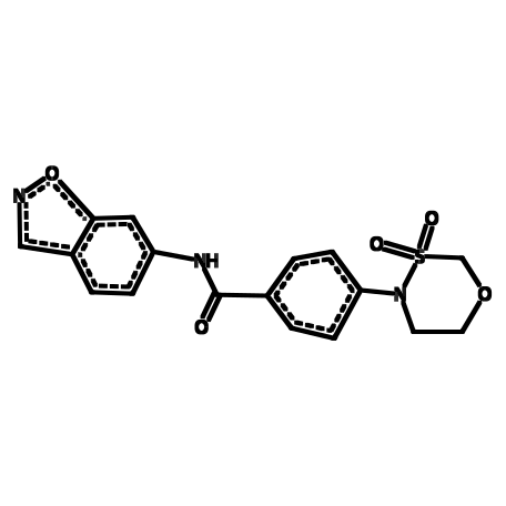 O=C(Nc1ccc2cnoc2c1)c1ccc(N2CCOCS2(=O)=O)cc1